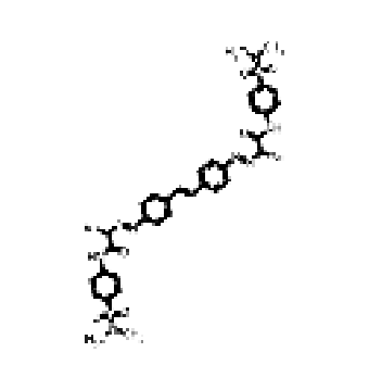 CC(=O)C(N=Nc1ccc(C=Cc2ccc(N=NC(C(C)=O)C(=O)Nc3ccc(S(=O)(=O)N(C)C)cc3)cc2)cc1)C(=O)Nc1ccc(S(=O)(=O)N(C)C)cc1